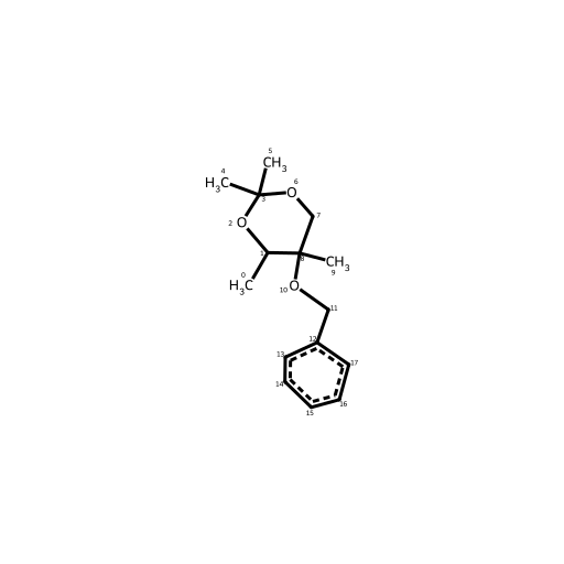 CC1OC(C)(C)OCC1(C)OCc1ccccc1